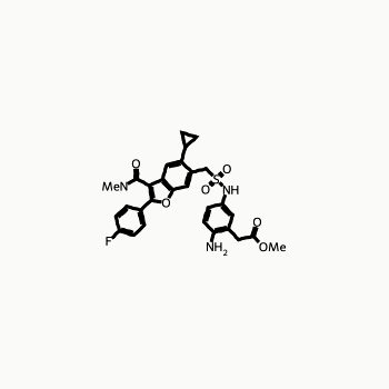 CNC(=O)c1c(-c2ccc(F)cc2)oc2cc(CS(=O)(=O)Nc3ccc(N)c(CC(=O)OC)c3)c(C3CC3)cc12